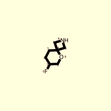 FC1CCC2(CNC2)OC1